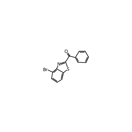 O=C(c1ccccc1)c1nc2c(Br)cccc2s1